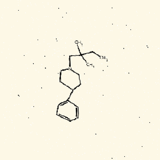 CCC(C)(C)CN1CCC(c2ccccc2)CC1